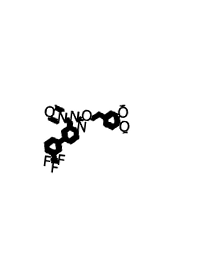 COc1ccc(CCOc2nc(N3CCOCC3)c3cc(-c4cccc(C(F)(F)F)c4)ccc3n2)cc1OC